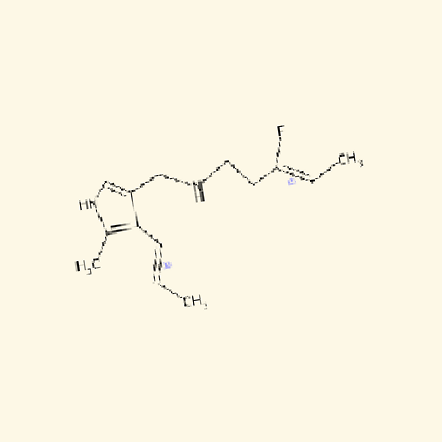 C/C=C(\F)CCNCc1c[nH]c(C)c1/C=C/C